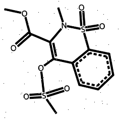 COC(=O)C1=C(OS(C)(=O)=O)c2ccccc2S(=O)(=O)N1C